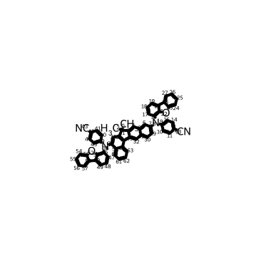 CC1(C)c2cc3cc(N(c4ccc(C#N)cc4)c4cccc5c4oc4ccccc45)ccc3cc2-c2c1cc(N(c1ccc(C#N)cc1)c1cccc3c1oc1ccccc13)c1ccccc21